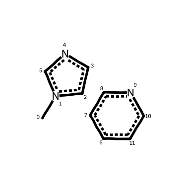 Cn1ccnc1.c1ccncc1